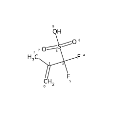 C=C(C)C(F)(F)S(=O)(=O)O